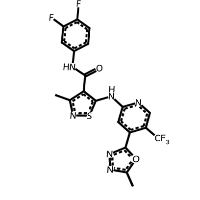 Cc1nnc(-c2cc(Nc3snc(C)c3C(=O)Nc3ccc(F)c(F)c3)ncc2C(F)(F)F)o1